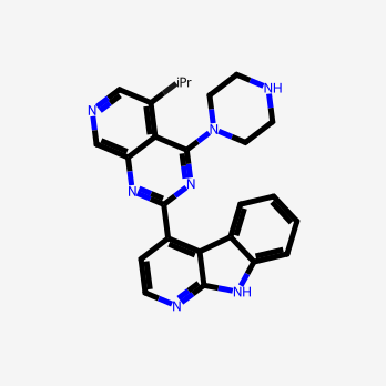 CC(C)c1cncc2nc(-c3ccnc4[nH]c5ccccc5c34)nc(N3CCNCC3)c12